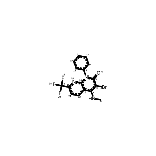 CNc1c(Br)c(=O)n(-c2ccccc2)c2nc(C(F)(F)F)ccc12